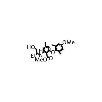 CCC(CO)Nc1cc(C)nc(Oc2c(C)cc(OC)cc2C)c1C(=O)OC